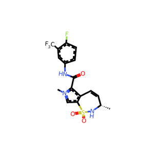 C[C@H]1C=Cc2c(cn(C)c2C(=O)Nc2ccc(F)c(C(F)(F)F)c2)S(=O)(=O)N1